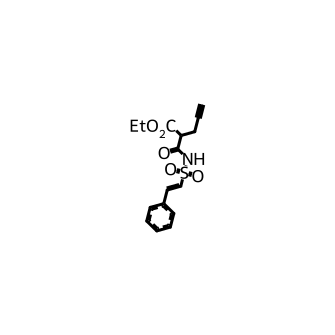 C#CCC(C(=O)NS(=O)(=O)C=Cc1ccccc1)C(=O)OCC